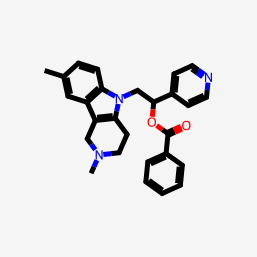 Cc1ccc2c(c1)c1c(n2CC(OC(=O)c2ccccc2)c2ccncc2)CCN(C)C1